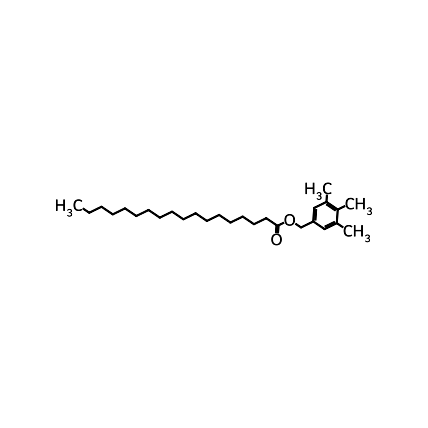 CCCCCCCCCCCCCCCCCC(=O)OCc1cc(C)c(C)c(C)c1